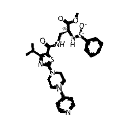 COC(=O)[C@H](CNC(=O)c1sc(N2CCN(c3ccncc3)CC2)nc1C(C)C)N[S+]([O-])c1ccccc1